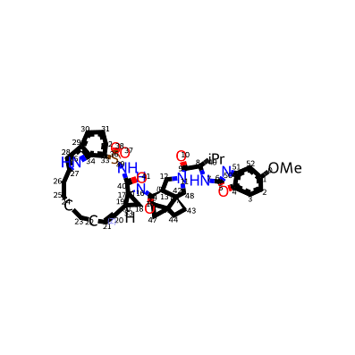 COc1ccc2oc(NC(C(=O)N3C[C@H](C(=O)N[C@]45C[C@H]4/C=C\CCCCCc4cc6cccc(c6[nH]4)S(=O)(=O)NC5=O)[C@]4(CCC45CC5)C3)C(C)C)nc2c1